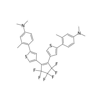 Cc1cc(N(C)C)ccc1-c1cc(C2=C(c3csc(-c4ccc(N(C)C)cc4C)c3)C(F)(F)C(F)(F)C2(F)F)cs1